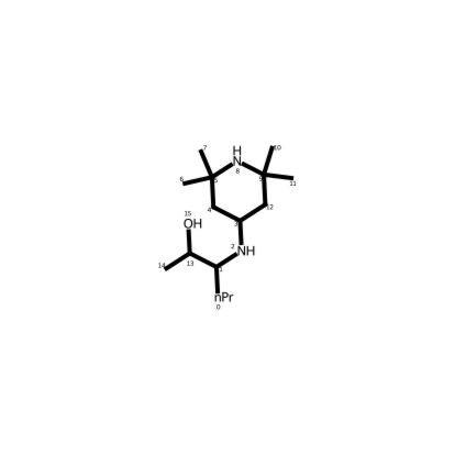 CCCC(NC1CC(C)(C)NC(C)(C)C1)C(C)O